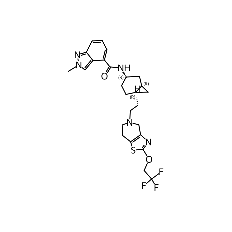 Cn1cc2c(C(=O)N[C@@H]3CC[C@]4(CCN5CCc6sc(OCC(F)(F)F)nc6C5)C[C@@H]4C3)cccc2n1